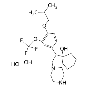 CC(C)COc1ccc(C(CN2CCNCC2)C2(O)CCCCC2)cc1OC(F)(F)F.Cl.Cl